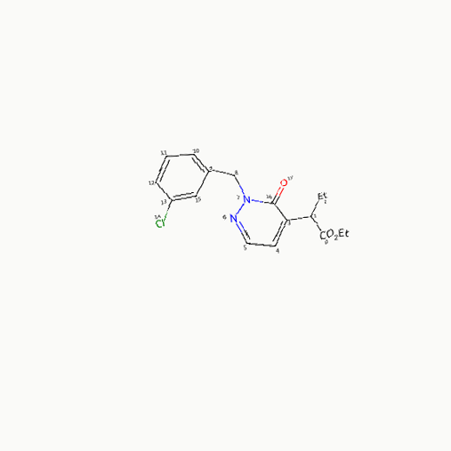 CCOC(=O)C(CC)c1ccnn(Cc2cccc(Cl)c2)c1=O